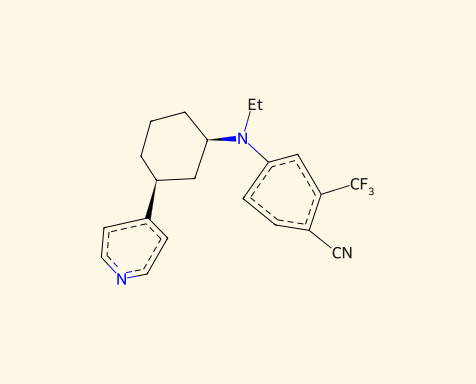 CCN(c1ccc(C#N)c(C(F)(F)F)c1)[C@@H]1CCC[C@H](c2ccncc2)C1